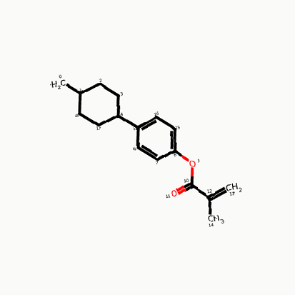 [CH2]C1CCC(c2ccc(OC(=O)C(=C)C)cc2)CC1